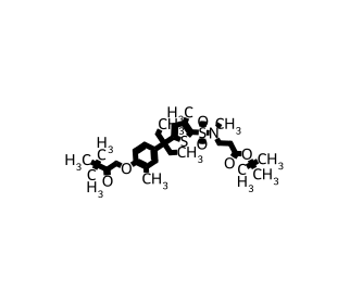 CCC(CC)(c1ccc(OCC(=O)C(C)(C)C)c(C)c1)c1cc(C)c(S(=O)(=O)N(C)CCC(=O)OC(C)(C)C)s1